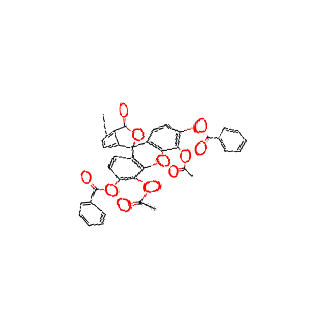 CC(=O)Oc1c(OC(=O)c2ccccc2)ccc2c1Oc1c(ccc(OC(=O)c3ccccc3)c1OC(C)=O)C21OC(=O)c2c(C)cccc21